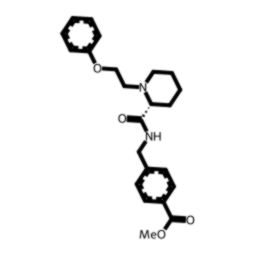 COC(=O)c1ccc(CNC(=O)[C@H]2CCCCN2CCOc2ccccc2)cc1